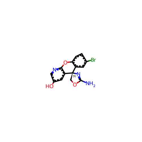 NC1=N[C@@]2(CO1)c1cc(Br)ccc1Oc1ncc(O)cc12